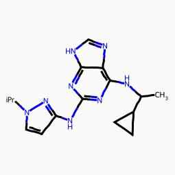 CC(Nc1nc(Nc2ccn(C(C)C)n2)nc2[nH]cnc12)C1CC1